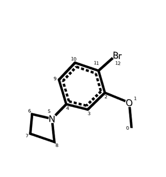 COc1cc(N2CCC2)ccc1Br